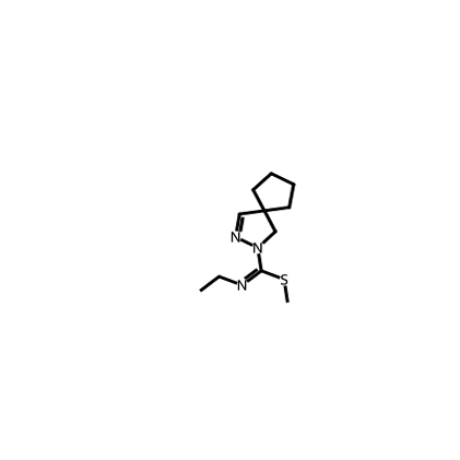 CC/N=C(/SC)N1CC2(C=N1)CCCC2